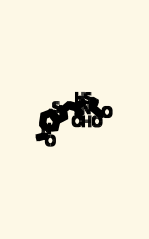 CC(=O)N1CCc2sc(C=C3C(=O)N4C(C(=O)O)=CS[C@H]34)cc2C1